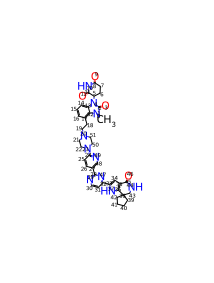 Cn1c(=O)n(C2CCC(=O)NC2=O)c2cccc(CCN3CCN(c4ccc(-c5nccc(-c6cc7c([nH]6)C6(CCCC6)CNC7=O)n5)cn4)CC3)c21